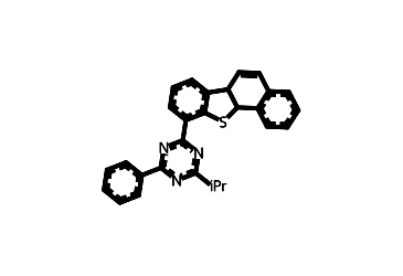 CC(C)c1nc(-c2ccccc2)nc(-c2cccc3c2SC2c4ccccc4C=CC32)n1